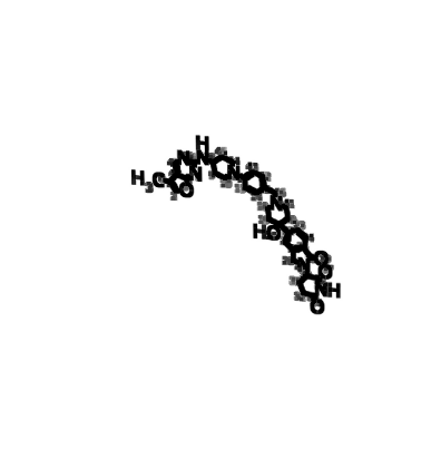 Cc1coc2nc(NC3CCN(c4ccc(CN5CCC(O)(c6ccc7c(c6)CN(C6CCC(=O)NC6=O)C7=O)CC5)cc4)CC3)ncc12